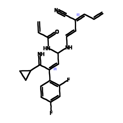 C=C/C=C(/C#N)C=CNC(/C=C(\C(=N)C1CC1)c1ccc(F)cc1F)NC(=O)C=C